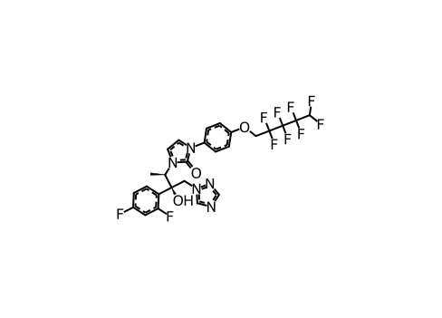 C[C@@H](n1ccn(-c2ccc(OCC(F)(F)C(F)(F)C(F)(F)C(F)F)cc2)c1=O)[C@](O)(Cn1cncn1)c1ccc(F)cc1F